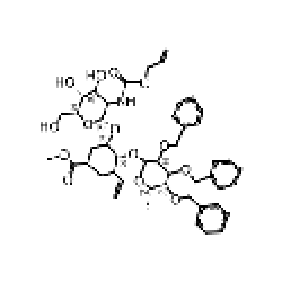 C=CCOC(=O)NC1C(O)[C@@H](O)[C@H](CO)O[C@H]1O[C@@H]1CC(C(=O)OC)CC(C=C)[C@H]1OC1O[C@@H](C)[C@H](OCc2ccccc2)C(OCc2ccccc2)[C@@H]1OCc1ccccc1